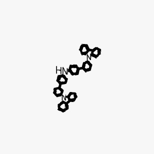 c1cc(-c2ccc(Nc3ccc(-c4cccc(-n5c6ccccc6c6ccccc65)c4)cc3)cc2)cc(-n2c3ccccc3c3ccccc32)c1